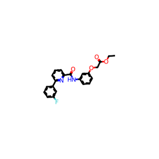 CCOC(=O)COc1cccc(NC(=O)c2cccc(-c3cccc(F)c3)n2)c1